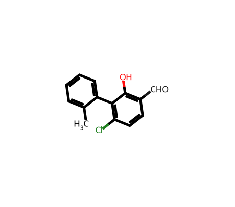 Cc1ccccc1-c1c(Cl)ccc(C=O)c1O